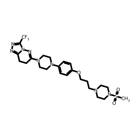 CS(=O)(=O)N1CCN(CCCOc2ccc(N3CCN(C4=Nn5c(nnc5C(F)(F)F)CC4)CC3)cc2)CC1